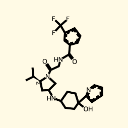 CC(C)[C@@H]1CC(NC2CCC(O)(c3ccccn3)CC2)CN1C(=O)CNC(=O)c1cccc(C(F)(F)F)c1